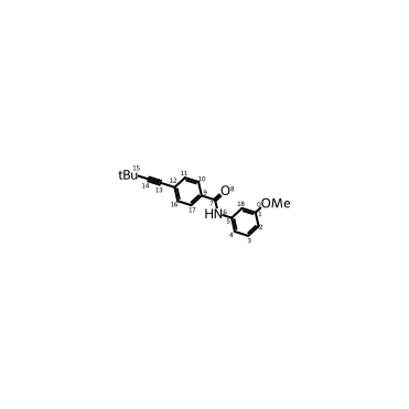 COc1cccc(NC(=O)c2ccc(C#CC(C)(C)C)cc2)c1